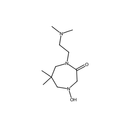 CN(C)CCN1CC(C)(C)CN(O)CC1=O